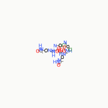 CC1CC(=O)NN=C1c1ccc(NCC(C)(C)NCC(COc2cc(Cl)ccc2C#N)OC(=O)/C=C\C(=O)OC(CNC(C)(C)CNc2ccc(C3=NNC(=O)CC3C)cc2)COc2cc(Cl)ccc2C#N)cc1